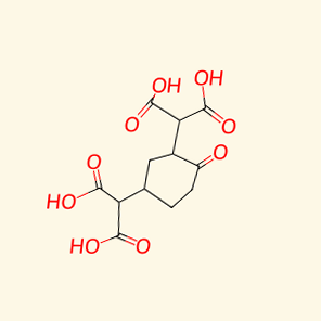 O=C1CCC(C(C(=O)O)C(=O)O)CC1C(C(=O)O)C(=O)O